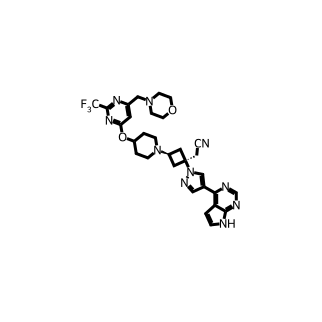 N#CC[C@]1(n2cc(-c3ncnc4[nH]ccc34)cn2)C[C@@H](N2CCC(Oc3cc(CN4CCOCC4)nc(C(F)(F)F)n3)CC2)C1